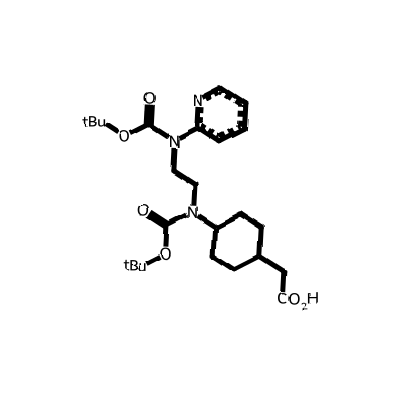 CC(C)(C)OC(=O)N(CCN(C(=O)OC(C)(C)C)C1CCC(CC(=O)O)CC1)c1ccccn1